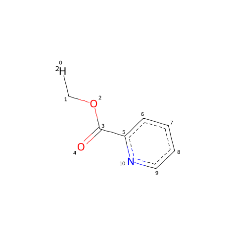 [2H]COC(=O)c1ccccn1